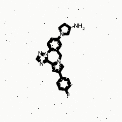 N[C@H]1CCN(c2ccc3c(c2)Cn2cc(-c4ccc(F)cc4)cc2-c2ncnn2-3)C1